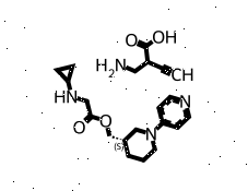 C#CC(CN)C(=O)O.O=C(CNC1CC1)OC[C@H]1CCCN(c2ccncc2)C1